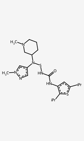 CC(C)c1cc(NC(=O)NSN(c2cnn(C)c2)C2CCCN(C)C2)c(C(C)C)s1